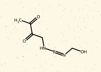 CC(=O)C(=O)CN/B=N/CO